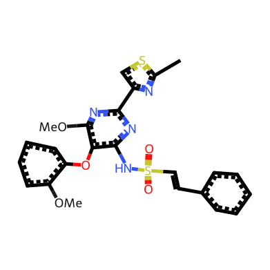 COc1ccccc1Oc1c(NS(=O)(=O)/C=C/c2ccccc2)nc(-c2csc(C)n2)nc1OC